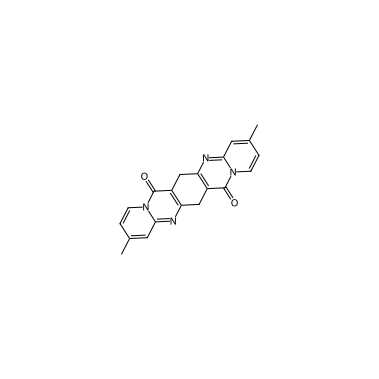 Cc1ccn2c(=O)c3c(nc2c1)Cc1c(nc2cc(C)ccn2c1=O)C3